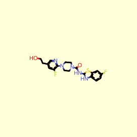 O=C(NC1Nc2ccc(F)cc2S1)N1CCN(c2ncc(CCO)cc2F)CC1